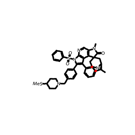 CSC1CCN(Cc2ccc(-c3c(-c4ccccc4)c4c5c(cnc4n3S(=O)(=O)c3ccccc3)N(C)C(=O)C53CC4CC(C)C(C3)N4)cc2)CC1